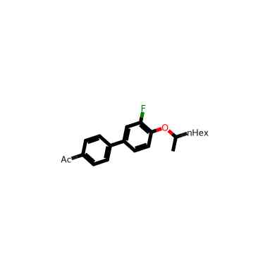 CCCCCCC(C)Oc1ccc(-c2ccc(C(C)=O)cc2)cc1F